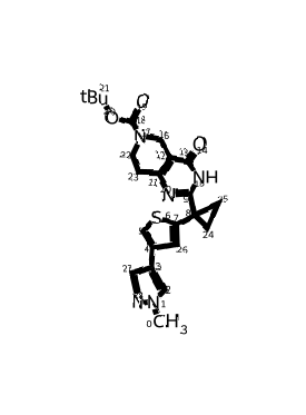 Cn1cc(-c2csc(C3(c4nc5c(c(=O)[nH]4)CN(C(=O)OC(C)(C)C)CC5)CC3)c2)cn1